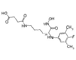 Cc1cc(N[C@H](CCCCNC(=O)CCC(=O)O)C(=O)NO)cc(C)c1F